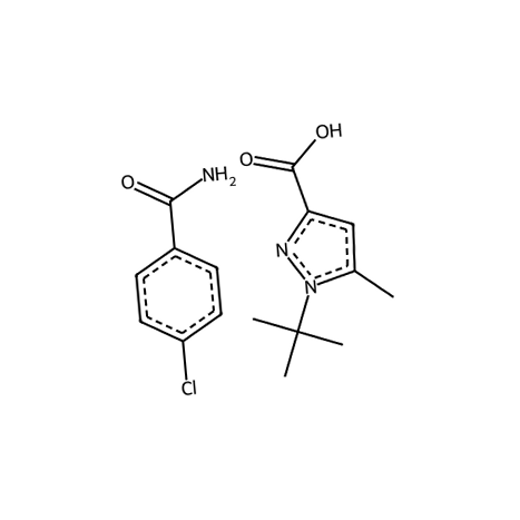 Cc1cc(C(=O)O)nn1C(C)(C)C.NC(=O)c1ccc(Cl)cc1